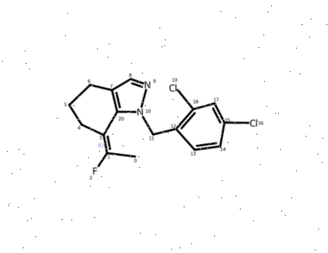 [CH2]/C(F)=C1/CCCc2cnn(Cc3ccc(Cl)cc3Cl)c21